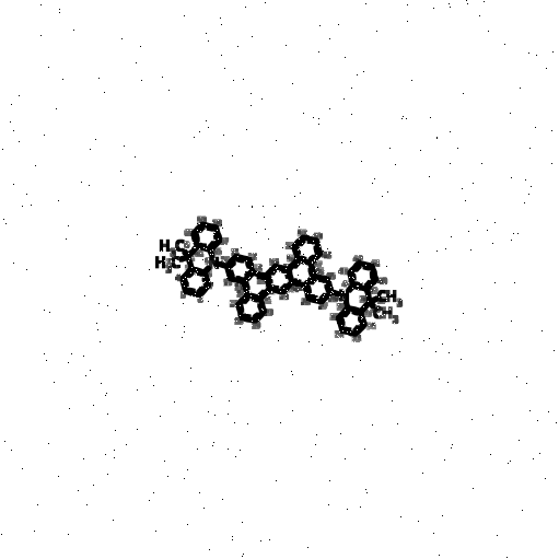 CC1(C)c2ccccc2N(c2ccc3c(c2)c2ccccc2c2cc4c5ccc(N6c7ccccc7C(C)(C)c7ccccc76)cc5c5ccccc5c4cc32)c2ccccc21